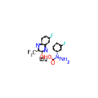 CC(C)(C)OC(=O)N(N)c1cccc(F)c1.Oc1nc2cc(F)ccc2nc1C(F)(F)F